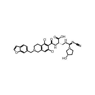 N#C/N=C(/NC[C@H](NC(=O)c1c(Cl)cc2c(c1Cl)CCN(Cc1ccc3ccoc3c1)C2)C(=O)O)N1CC[C@@H](O)C1